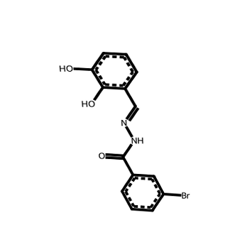 O=C(N/N=C/c1cccc(O)c1O)c1cccc(Br)c1